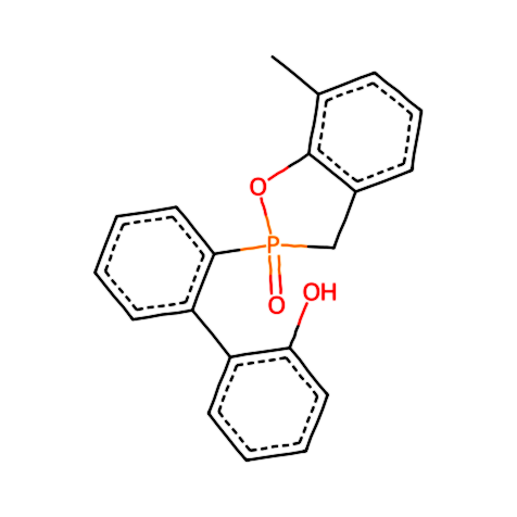 Cc1cccc2c1OP(=O)(c1ccccc1-c1ccccc1O)C2